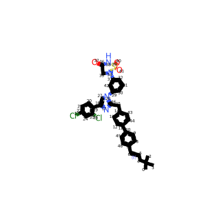 CC(C)(C)C/C=C/c1ccc(-c2ccc(Cc3nc(-c4ccc(Cl)cc4Cl)cn3-c3cccc(N4CC(=O)NS4(=O)=O)c3)cc2)cc1